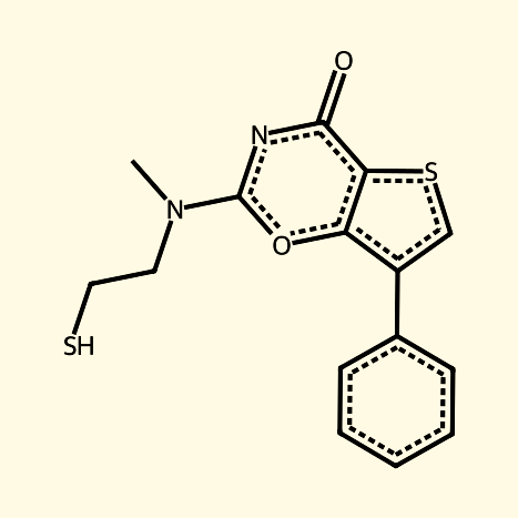 CN(CCS)c1nc(=O)c2scc(-c3ccccc3)c2o1